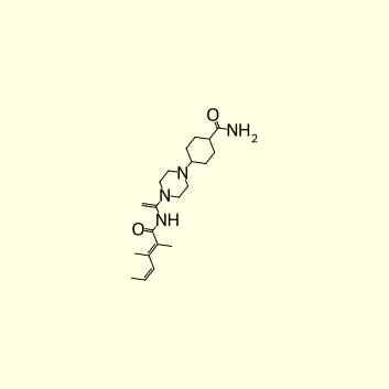 C=C(NC(=O)/C(C)=C(C)/C=C\C)N1CCN(C2CCC(C(N)=O)CC2)CC1